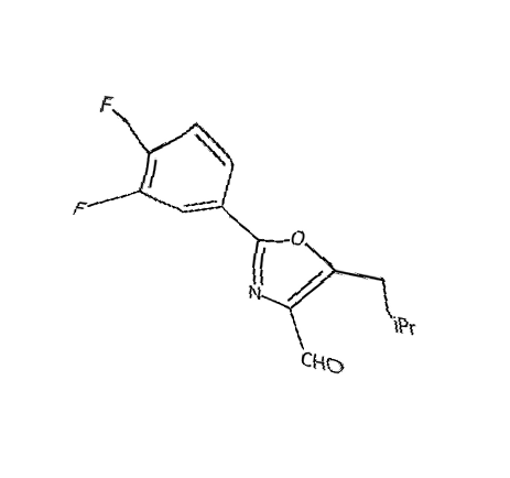 CC(C)Cc1oc(-c2ccc(F)c(F)c2)nc1C=O